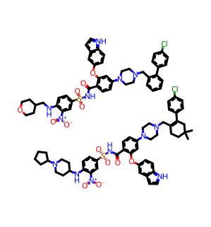 CC1(C)CCC(CN2CCN(c3ccc(C(=O)NS(=O)(=O)c4ccc(NC5CCN(C6CCCC6)CC5)c([N+](=O)[O-])c4)c(Oc4ccc5[nH]ccc5c4)c3)CC2)=C(c2ccc(Cl)cc2)C1.O=C(NS(=O)(=O)c1ccc(NCC2CCOCC2)c([N+](=O)[O-])c1)c1ccc(N2CCN(Cc3ccccc3-c3ccc(Cl)cc3)CC2)cc1Oc1ccc2[nH]ccc2c1